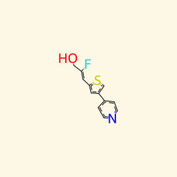 OC/C(F)=C/c1cc(-c2ccncc2)cs1